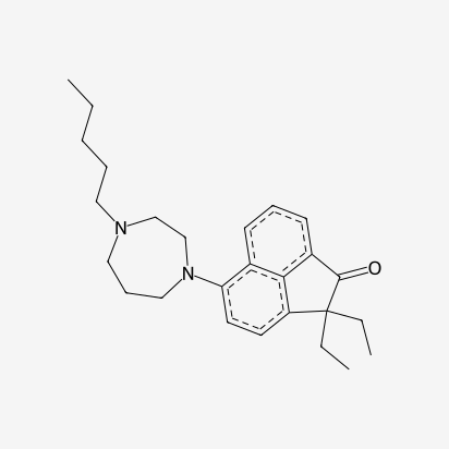 CCCCCN1CCCN(c2ccc3c4c(cccc24)C(=O)C3(CC)CC)CC1